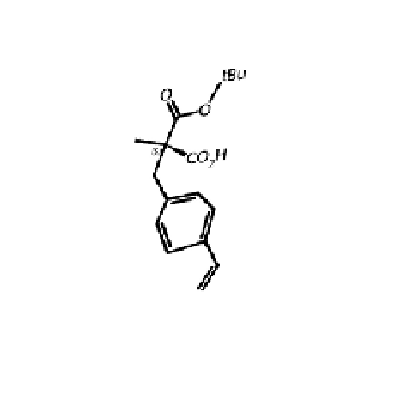 C=Cc1ccc(C[C@@](C)(C(=O)O)C(=O)OC(C)(C)C)cc1